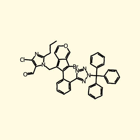 CCCc1nc(Cl)c(C=O)n1Cc1c2ccocc-2c(Br)c1-c1ccccc1-c1nnn(C(c2ccccc2)(c2ccccc2)c2ccccc2)n1